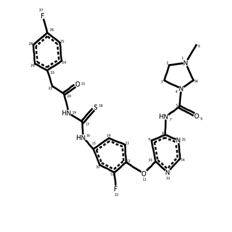 CN1CCN(C(=O)Nc2cc(Oc3ccc(NC(=S)NC(=O)Cc4ccc(F)cc4)cc3F)ncn2)C1